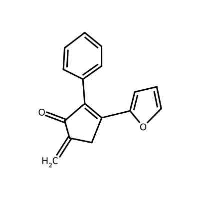 C=C1CC(c2ccco2)=C(c2ccccc2)C1=O